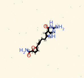 NC(=O)c1ccc(C#CCCc2cc3c(=O)[nH]c(N)nc3[nH]2)o1